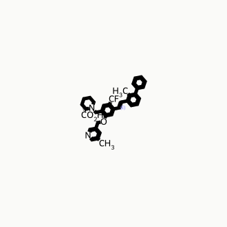 Cc1cncc(COc2cc(/C=C/c3cccc(-c4ccccc4)c3C)c(C(F)(F)F)cc2CN2CCCC[C@H]2C(=O)O)c1